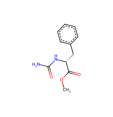 COC(=O)[C@@H](Cc1ccccc1)NC(N)=O